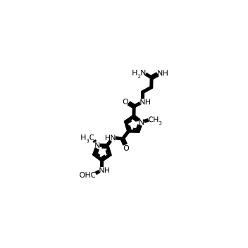 Cn1cc(NC=O)cc1NC(=O)c1cc(C(=O)NCCC(=N)N)n(C)c1